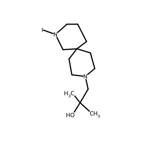 CC(C)(O)CN1CCC2(CCCN(I)C2)CC1